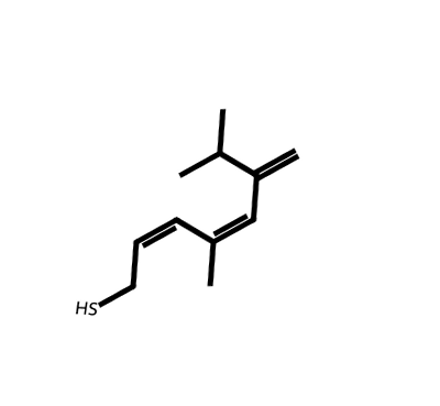 C=C(/C=C(C)\C=C/CS)C(C)C